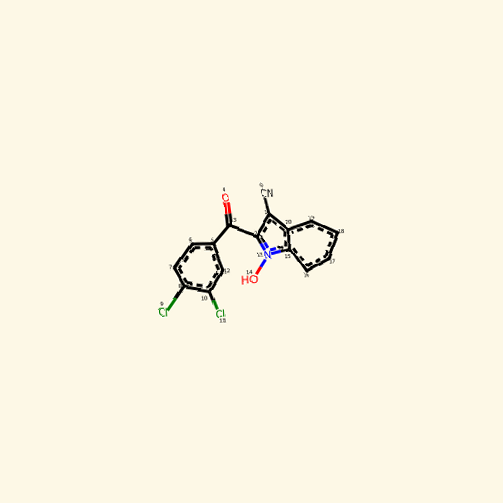 N#Cc1c(C(=O)c2ccc(Cl)c(Cl)c2)n(O)c2ccccc12